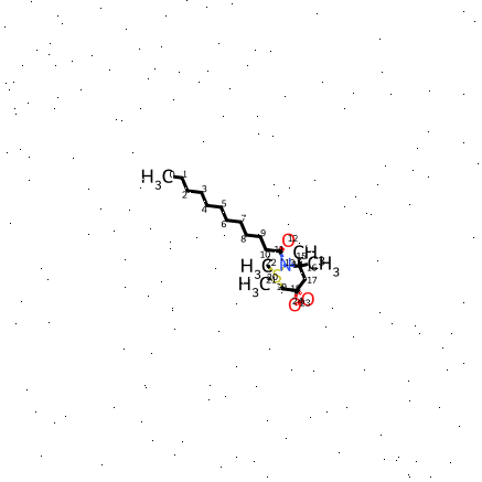 CCCCCCCCCCCC(=O)N1C(C)(C)CC2(CS1(C)C)OO2